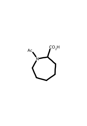 CC(=O)N1CCCCCC1C(=O)O